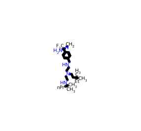 C=NC(N)(c1ccc(CNCCN(CCNC(C)(C)CCC)CCC(C)(C)CC)cc1)C(F)(F)F